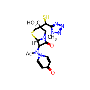 CC(=O)N(C1C(=O)N2CC(C(=O)O)(C(S)c3nnnn3C)CS[C@H]12)n1ccc(=O)cc1